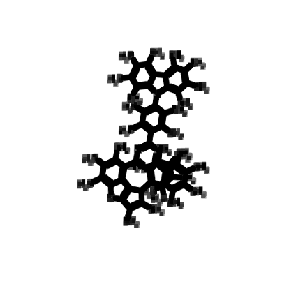 BC1=C(B)C(c2c(B)c(B)c(B)c(B)c2B)c2c1oc1c(B)c(B)c(B)c(-c3nc(-c4c(B)c(B)c(B)c(B)c4B)nc(-c4c(B)c(B)c(-n5c6c(B)c(B)c(B)c(B)c6c6c(B)c(B)c(B)c(B)c65)c(B)c4B)n3)c21